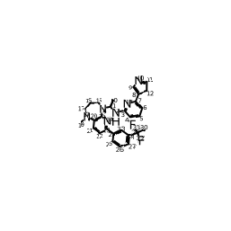 C=C(Nc1cccc(C2=CN=CC2)n1)N1CCCN(C)c2ccc(-c3cccc(C(C)(F)F)c3)nc21